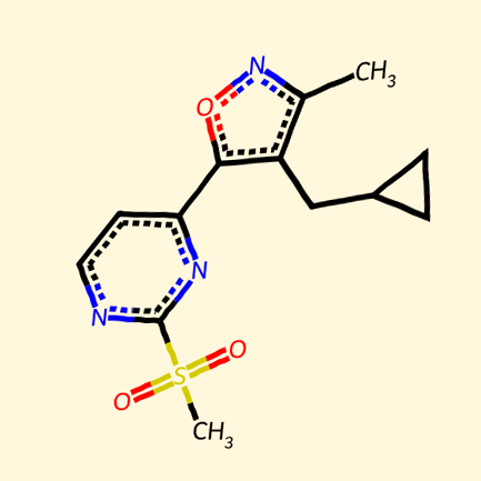 Cc1noc(-c2ccnc(S(C)(=O)=O)n2)c1CC1CC1